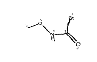 CONC(=O)Br